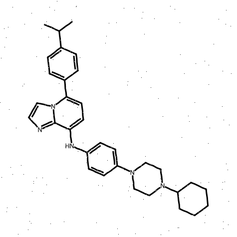 CC(C)c1ccc(-c2ccc(Nc3ccc(N4CCN(C5CCCCC5)CC4)cc3)c3nccn23)cc1